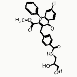 COC(=O)c1c(Cc2ccc(C(=O)NCC(O)CO)cc2)c(=O)c2ccc(Cl)cc2n1-c1ccccc1